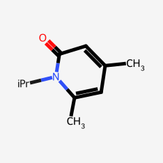 Cc1cc(C)n(C(C)C)c(=O)c1